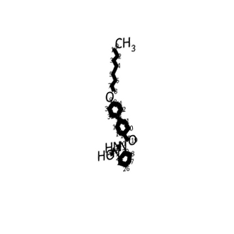 CCCCCCCCCOc1ccc(-c2ccc(C(=O)N3NN(O)c4ccccc43)cc2)cc1